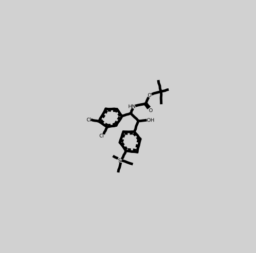 CC(C)(C)OC(=O)NC(c1ccc(Cl)c(Cl)c1)C(O)c1ccc([Si](C)(C)C)cc1